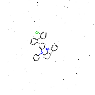 Clc1ccccc1-c1ccccc1-c1ccc2c(c1)n1c3ccccc3c3ccc4c5ccccc5n2c4c31